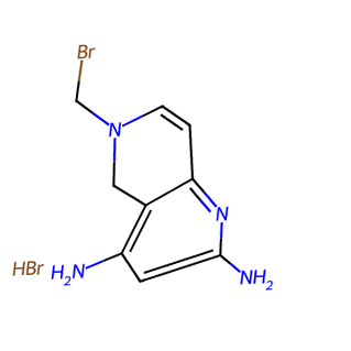 Br.Nc1cc(N)c2c(n1)C=CN(CBr)C2